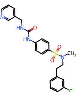 CN(CCc1cccc(Cl)c1)S(=O)(=O)c1ccc(NC(=O)NCc2cccnc2)cc1